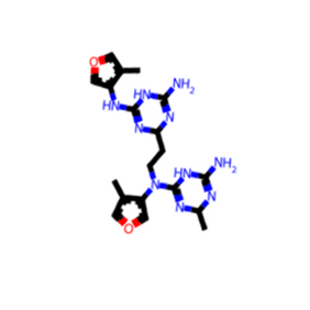 Cc1cocc1NC1=NC(CCN(C2=NC(C)N=C(N)N2)c2cocc2C)N=C(N)N1